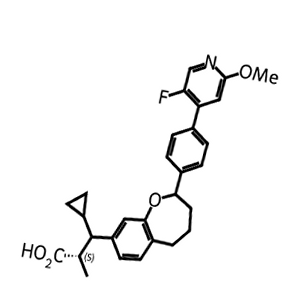 COc1cc(-c2ccc(C3CCCc4ccc(C(C5CC5)[C@H](C)C(=O)O)cc4O3)cc2)c(F)cn1